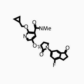 CNC(=O)c1cc(O[C@@H]2CCN(c3cc(F)c4c(c3)C(=O)CC4)C2=O)cnc1OCC1CC1